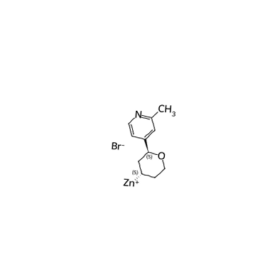 Cc1cc([C@@H]2C[C@@H]([Zn+])CCO2)ccn1.[Br-]